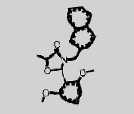 COc1cccc(OC)c1[C@H]1OC(C)C(=O)N1Cc1ccc2ccccc2c1